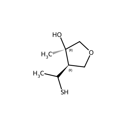 CC(S)[C@@H]1COC[C@]1(C)O